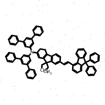 CCC1(CC)C2=C(CCC(N(c3cc(-c4ccccc4)cc(-c4ccccc4)c3)c3cc(-c4ccccc4)cc(-c4ccccc4)c3)=C2)c2ccc(/C=C/c3cccc4c3-c3ccccc3C4(c3ccccc3)c3ccccc3)cc21